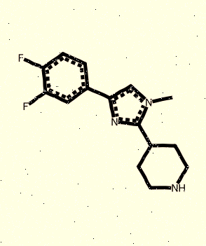 Cn1cc(-c2ccc(F)c(F)c2)nc1C1CCNCC1